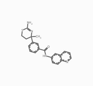 CC1(c2cccc(C(=O)Nc3ccc4ncccc4c3)c2)CCSC(N)=N1